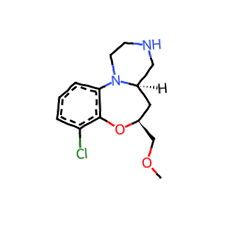 COC[C@@H]1C[C@@H]2CNCCN2c2cccc(Cl)c2O1